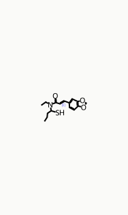 CCCC(S)N(CC)C(=O)/C=C/c1ccc2c(c1)OCO2